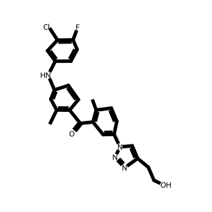 Cc1cc(Nc2ccc(F)c(Cl)c2)ccc1C(=O)c1cc(-n2cc(CCO)nn2)ccc1C